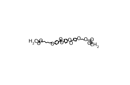 C=CC(=O)OCCCCCCOc1ccc(C(=O)Oc2ccc(OC(=O)c3ccc(OCCCOCCS(=O)(=O)C=C)cc3)cc2)cc1